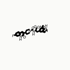 COC(=O)C(Cc1cc(C)c2[nH]ncc2c1)NC(=O)N1CCC(c2cc3ccc(F)cc3[nH]c2=O)CC1